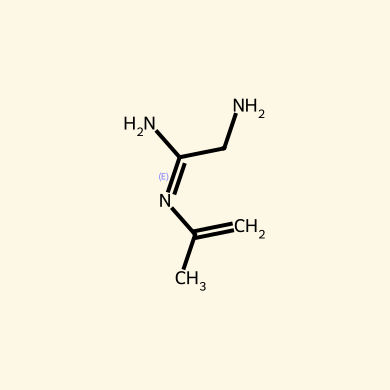 C=C(C)/N=C(/N)CN